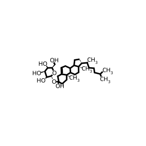 CC(C)CCC[C@@H](C)[C@H]1CCC2C3CC=C4CC(O)(O[C@H]5O[C@H](CO)[C@H](O)[C@H](O)[C@@H]5O)CC[C@]4(C)C3CC[C@@]21C